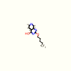 Oc1nc(OCCCCC(F)(F)F)nc2cnccc12